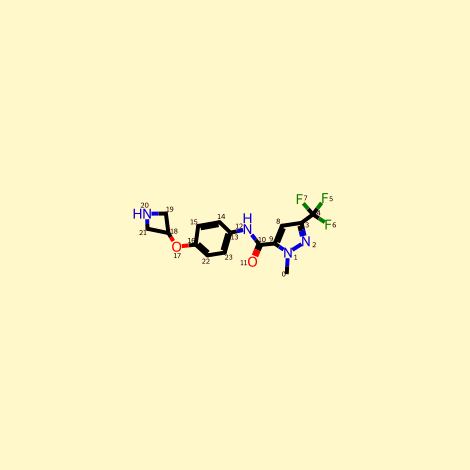 Cn1nc(C(F)(F)F)cc1C(=O)Nc1ccc(OC2CNC2)cc1